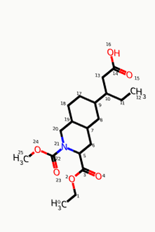 CCOC(=O)C1CC2CC(C(CC)CC(=O)O)CCC2CN1C(=O)OC